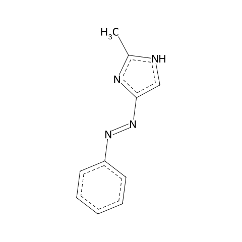 Cc1nc(N=Nc2ccccc2)c[nH]1